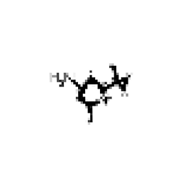 CC1(c2cc(N)cc(I)n2)CC1